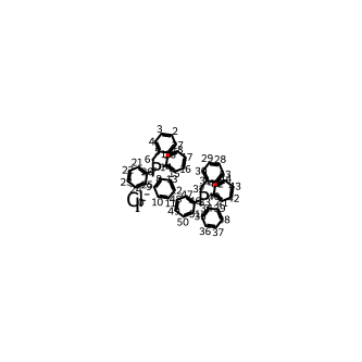 [Cl-].[I-].c1ccc(C[P+](c2ccccc2)(c2ccccc2)c2ccccc2)cc1.c1ccc(C[P+](c2ccccc2)(c2ccccc2)c2ccccc2)cc1